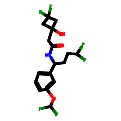 O=C(CC1(O)CC(F)(F)C1)NC(CCC(F)F)c1cccc(OC(F)F)c1